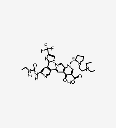 CCNC(=O)Nc1cc(-c2nc(C(F)(F)F)cs2)c(-c2cc3c(=O)c(C(=O)O)cn(C[C@@H]4CCCN4CCN(CC)CC)c3cn2)cn1